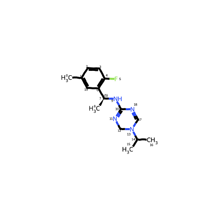 Cc1ccc(F)c([C@H](C)NC2=NCN(C(C)C)C=N2)c1